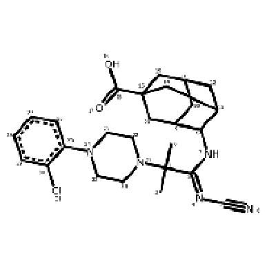 CC(C)(/C(=N/C#N)NC1C2CC3CC1CC(C(=O)O)(C3)C2)N1CCN(c2ccccc2Cl)CC1